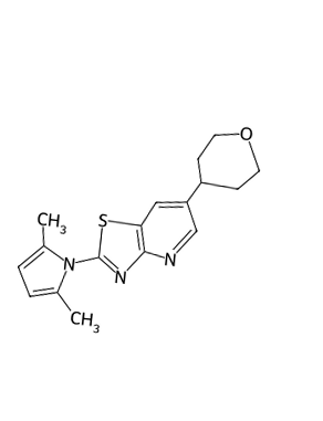 Cc1ccc(C)n1-c1nc2ncc(C3CCOCC3)cc2s1